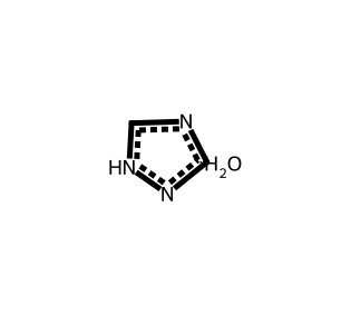 O.[c]1nc[nH]n1